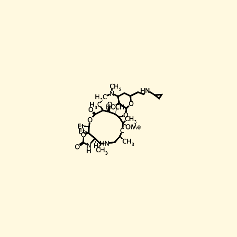 CC[C@H]1OC(=O)C(C)C(=O)[C@H](C)[C@@H](OC2OC(CCNC3CC3)CC(N(C)C)C2O)[C@](C)(OC)C[C@@H](C)CN[C@H](C)[C@H]2NC(=O)O[C@@]21CC